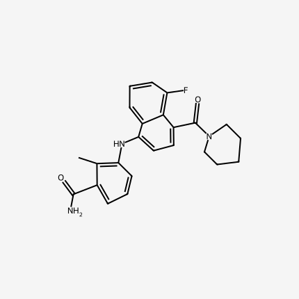 Cc1c(Nc2ccc(C(=O)N3CCCCC3)c3c(F)cccc23)cccc1C(N)=O